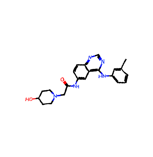 Cc1cccc(Nc2ncnc3ccc(NC(=O)CN4CCC(O)CC4)cc23)c1